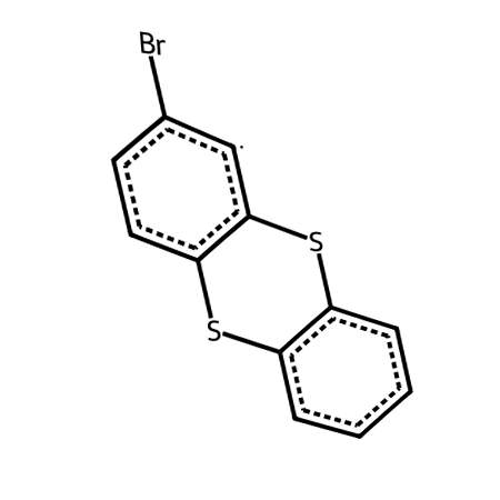 Brc1[c]c2c(cc1)Sc1ccccc1S2